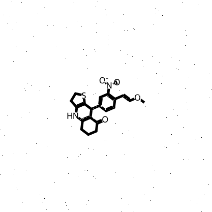 COC=Cc1ccc(C2C3=C(CCS3)NC3=C2C(=O)CCC3)cc1[N+](=O)[O-]